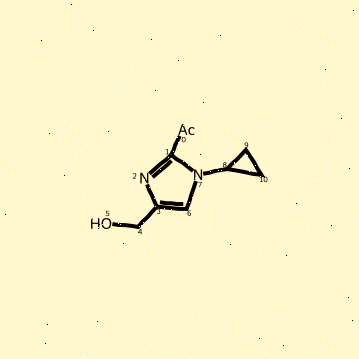 CC(=O)c1nc(CO)cn1C1CC1